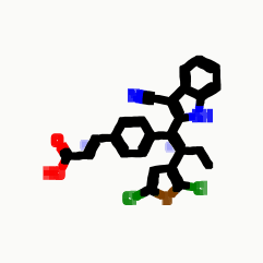 CC/C(=C(/c1ccc(/C=C/C(=O)O)cc1)c1[nH]c2ccccc2c1C#N)c1cc(Cl)sc1Cl